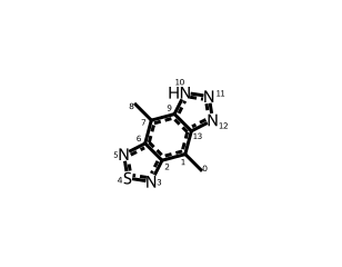 Cc1c2nsnc2c(C)c2[nH]nnc12